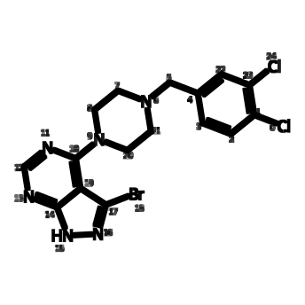 Clc1ccc(CN2CCN(c3ncnc4[nH]nc(Br)c34)CC2)cc1Cl